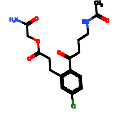 CC(=O)NCCCC(=O)c1ccc(Cl)cc1CCC(=O)OCC(N)=O